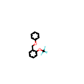 FC(F)(F)Oc1ccccc1COc1[c]cccc1